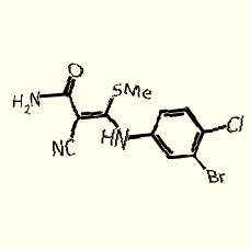 CS/C(Nc1ccc(Cl)c(Br)c1)=C(/C#N)C(N)=O